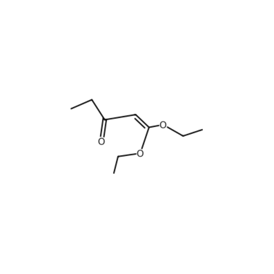 CCOC(=CC(=O)CC)OCC